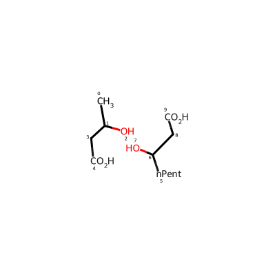 CC(O)CC(=O)O.CCCCCC(O)CC(=O)O